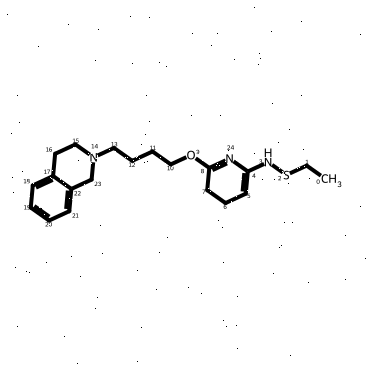 CCSNC1=CCCC(OCCCCN2CCc3ccccc3C2)=N1